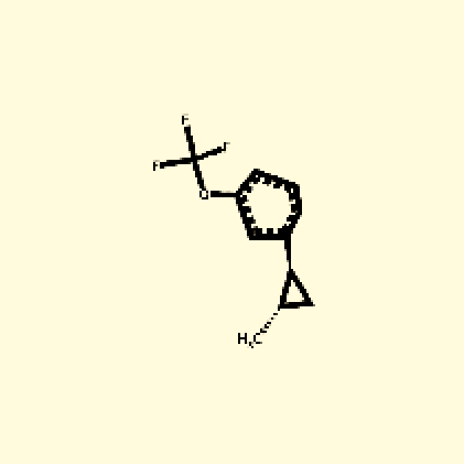 C[C@H]1C[C@@H]1c1cccc(OC(F)(F)F)c1